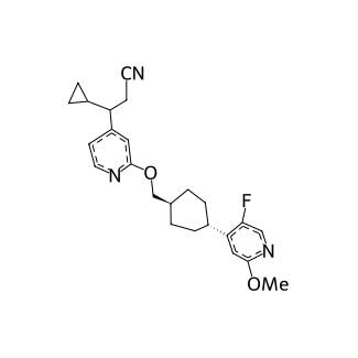 COc1cc([C@H]2CC[C@H](COc3cc(C(CC#N)C4CC4)ccn3)CC2)c(F)cn1